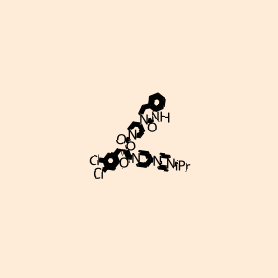 CC(C)N1CCN(C2CCN(C(=O)[C@@H](Cc3ccc(Cl)c(Cl)c3)OC(=O)N3CCC(N4CCc5ccccc5NC4=O)CC3)CC2)CC1